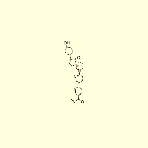 CN(C)C(=O)c1ccc(-c2ccc(N3CCC[C@@]4(CCN([C@H]5CC[C@H](O)CC5)C4=O)C3)nc2)cc1